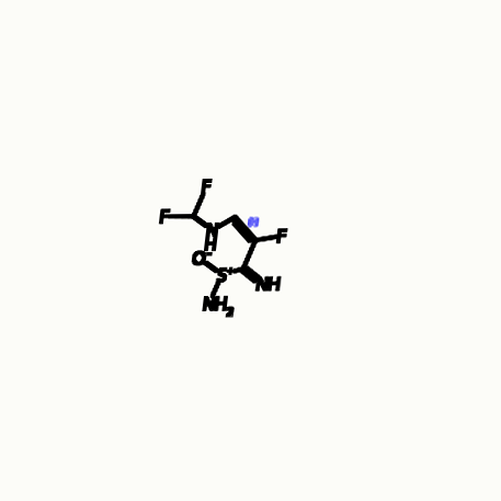 N=C(/C(F)=C\NC(F)F)[S+](N)[O-]